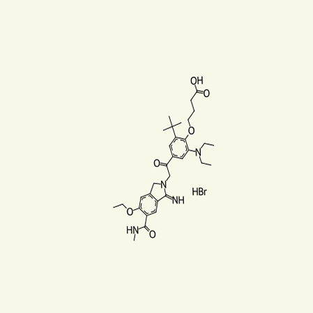 Br.CCOc1cc2c(cc1C(=O)NC)C(=N)N(CC(=O)c1cc(N(CC)CC)c(OCCCC(=O)O)c(C(C)(C)C)c1)C2